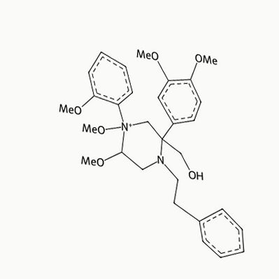 COc1ccc(C2(CO)C[N+](OC)(c3ccccc3OC)C(OC)CN2CCc2ccccc2)cc1OC